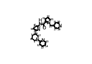 O=C(Nc1nc([C@@H]2CCCN(c3ccccn3)C2)cs1)c1cccn1Cc1ccncc1